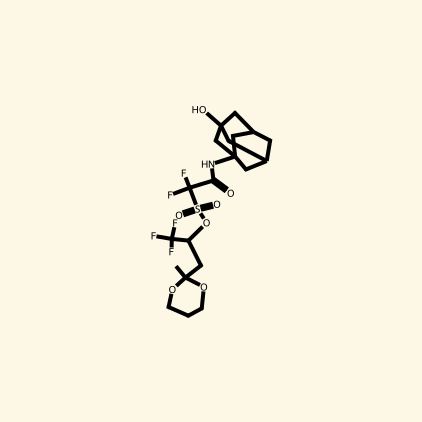 CC1(CC(OS(=O)(=O)C(F)(F)C(=O)NC23CC4CC(CC(O)(C4)C2)C3)C(F)(F)F)OCCCO1